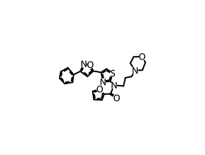 O=C(c1ccco1)N(CCCN1CCOCC1)c1nc(-c2cc(-c3ccccc3)no2)cs1